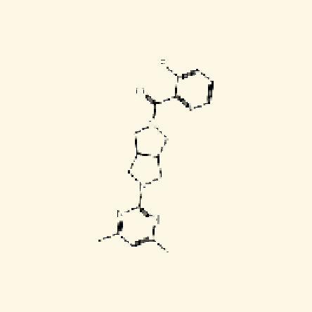 Cc1cc(C)nc(N2CC3CN(C(=O)c4ccccc4F)CC3C2)n1